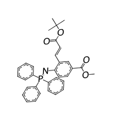 COC(=O)c1ccc(N=P(c2ccccc2)(c2ccccc2)c2ccccc2)c(C=CC(=O)OC(C)(C)C)c1